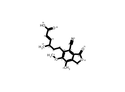 COc1c(C)c2c(c(C#N)c1CCC(C)/C=C/C(=O)O)C(=O)OC2